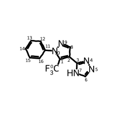 FC(F)(F)c1c(-c2nnc[nH]2)cnn1-c1ccccc1